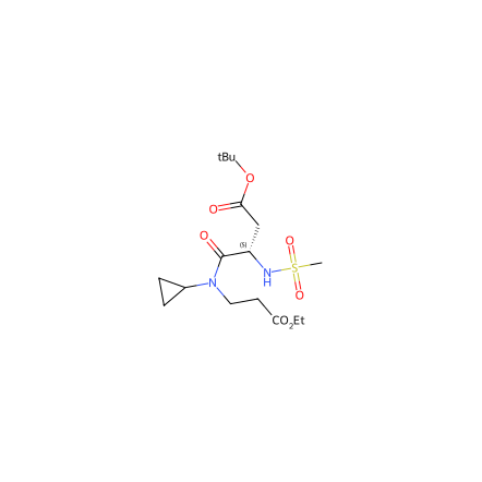 CCOC(=O)CCN(C(=O)[C@H](CC(=O)OC(C)(C)C)NS(C)(=O)=O)C1CC1